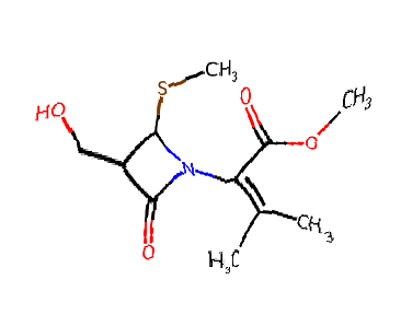 COC(=O)C(=C(C)C)N1C(=O)C(CO)C1SC